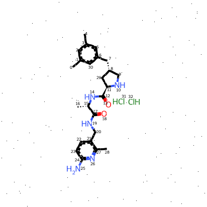 Cc1cc(C)cc(C[C@@H]2CN[C@@H](C(=O)N[C@@H](C)C(=O)NCc3ccc(N)nc3C)C2)c1.Cl.Cl